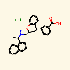 C[C@@H](NC[C@H]1C[C@@H](c2cccc(C(=O)O)c2)c2ccccc2O1)c1cccc2ccccc12.Cl